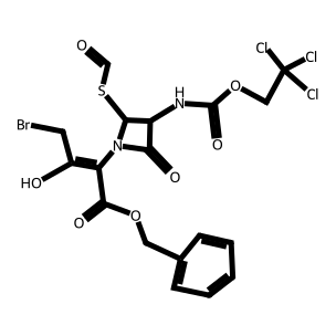 O=CSC1C(NC(=O)OCC(Cl)(Cl)Cl)C(=O)N1C(C(=O)OCc1ccccc1)=C(O)CBr